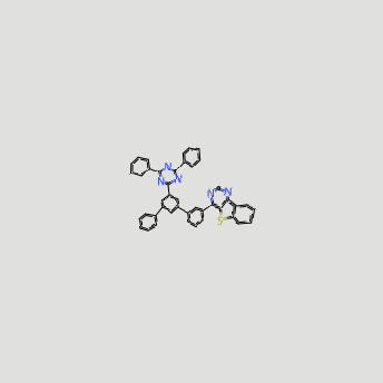 c1ccc(-c2cc(-c3cccc(-c4ncnc5c4sc4ccccc45)c3)cc(-c3nc(-c4ccccc4)nc(-c4ccccc4)n3)c2)cc1